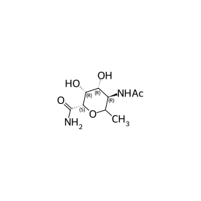 CC(=O)N[C@H]1C(C)O[C@H](C(N)=O)[C@H](O)[C@@H]1O